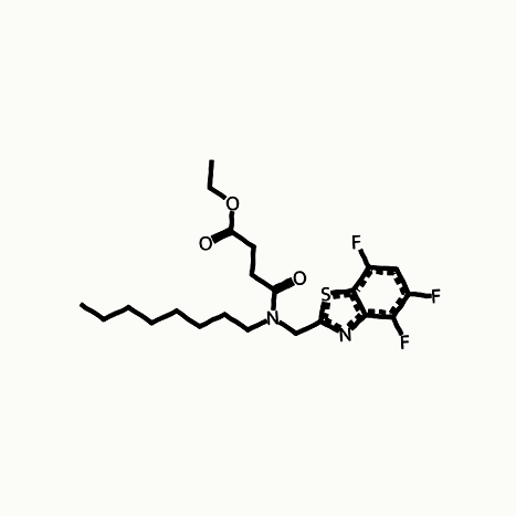 CCCCCCCCN(Cc1nc2c(F)c(F)cc(F)c2s1)C(=O)CCC(=O)OCC